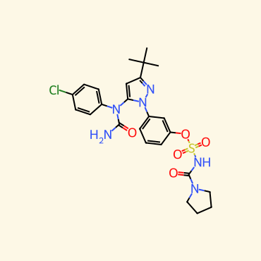 CC(C)(C)c1cc(N(C(N)=O)c2ccc(Cl)cc2)n(-c2cccc(OS(=O)(=O)NC(=O)N3CCCC3)c2)n1